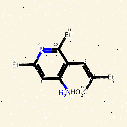 CCC(=Cc1c(N)cc(CC)nc1CC)C(=O)O